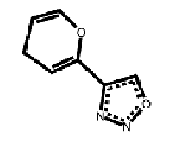 C1=COC(c2conn2)=CC1